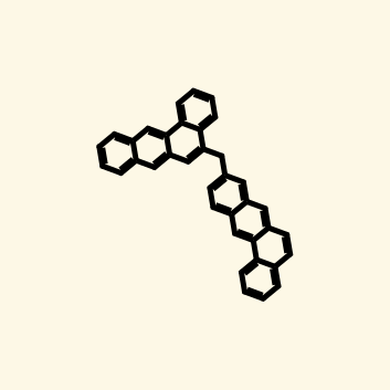 c1ccc2cc3c(cc(Cc4ccc5cc6c(ccc7ccccc76)cc5c4)c4ccccc43)cc2c1